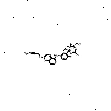 CC#CCOc1cnc2c(Nc3ccc(F)c([C@@]4(CF)N=C(N)S[C@@]5(CF)C[C@H]54)c3)nccc2n1